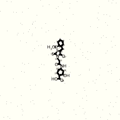 COc1ccccc1/C=C1\SC(=S)N(CCC(=O)Nc2ccc(C(=O)O)c(O)c2)C1=O